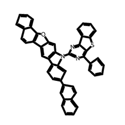 c1ccc(-c2nc(-n3c4cc(-c5ccc6ccccc6c5)ccc4c4cc5c(cc43)oc3c4ccccc4ccc53)nc3c2sc2ccccc23)cc1